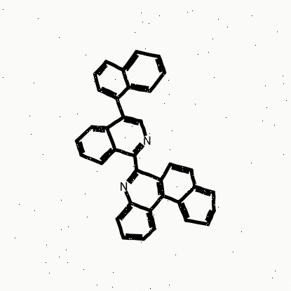 c1ccc2c(-c3cnc(-c4nc5ccccc5c5c4ccc4ccccc45)c4ccccc34)cccc2c1